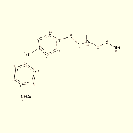 CC(=O)Nc1ccc(Oc2ccc(CCNCCC(C)C)cc2)cc1